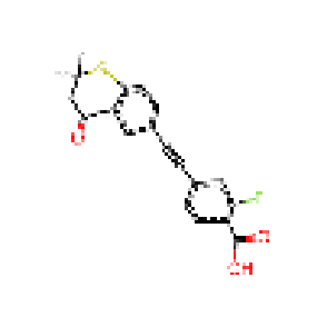 CC1(C)CC(=O)c2cc(C#Cc3ccc(C(=O)O)c(F)c3)ccc2S1